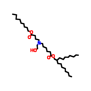 CCCCCCCCCOC(=O)CCCN(CCO)CCCCCC(=O)OCC(CCCCCCCC)CCCCCCCC